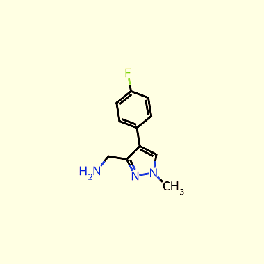 Cn1cc(-c2ccc(F)cc2)c(CN)n1